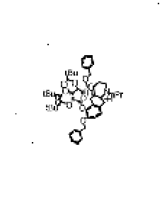 CCCN1CCC[C@@H]2Cc3c(ccc(OCc4ccccc4)c3O[C@@H]3O[C@@H](C(=O)OCc4ccccc4)[C@@H](OC(=O)C(C)(C)C)[C@H](OC(=O)C(C)(C)C)[C@H]3OC(=O)C(C)(C)C)C[C@H]21